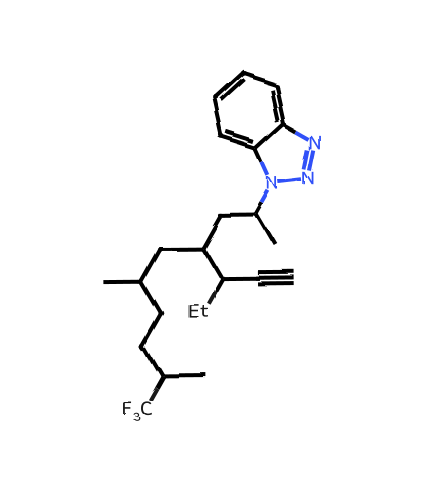 C#CC(CC)C(CC(C)CCC(C)C(F)(F)F)CC(C)n1nnc2ccccc21